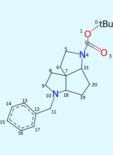 CC(C)(C)OC(=O)N1CCC23CCN(Cc4ccccc4)C2CCC13